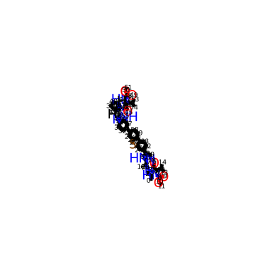 CCCN(C(=O)[C@@H](NC(=O)OC)C(C)C)[C@@H](C)c1ncc(-c2ccc3c(c2)sc2cc(-c4ccc5nc([C@@H]6[C@H]7CC[C@H](C7)N6C(=O)[C@@H](NC(=O)OC)C(C)C)[nH]c5c4)ccc23)[nH]1